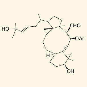 CC(=O)O[C@H]1/C=C2\[C@H](CCC[C@]3(C)C(C(C)C/C=C/C(C)(C)O)CC[C@@]3(C)[C@H]1C=O)CC[C@H](O)C2(C)C